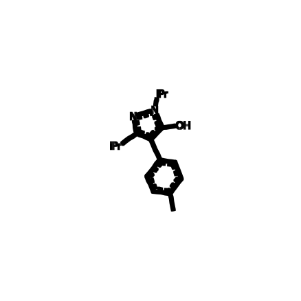 Cc1ccc(-c2c(C(C)C)nn(C(C)C)c2O)cc1